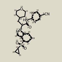 N#Cc1cnc(NC(=O)C(CC2CCOCC2)n2ncc3c(S(=O)(=O)C4CC4)cccc32)nc1